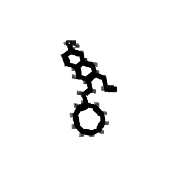 CSCc1nc2cc(C)ccc2nc1CSc1ccccccccc1